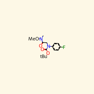 CON(C)C(=O)CN(C(=O)OC(C)(C)C)c1ccc(F)cc1